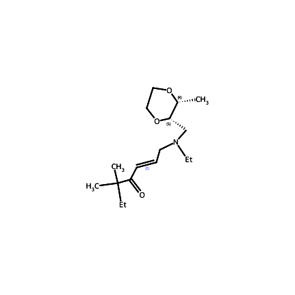 CCN(C/C=C/C(=O)C(C)(C)CC)C[C@@H]1OCCO[C@@H]1C